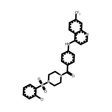 O=C(c1ccc(Nc2ccnc3cc(C(F)(F)F)ccc23)cc1)N1CCN(S(=O)(=O)c2ccccc2Cl)CC1